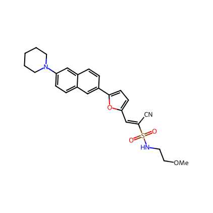 COCCNS(=O)(=O)/C(C#N)=C/c1ccc(-c2ccc3cc(N4CCCCC4)ccc3c2)o1